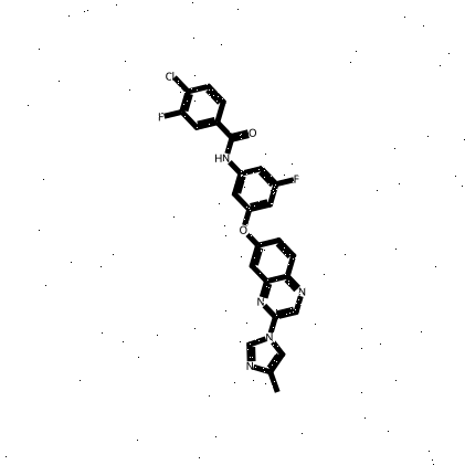 Cc1cn(-c2cnc3ccc(Oc4cc(F)cc(NC(=O)c5ccc(Cl)c(F)c5)c4)cc3n2)cn1